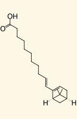 CC1(C)[C@H]2CC=C(/C=C/CCCCCCCCC(=O)O)[C@@H]1C2